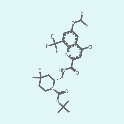 CC(C)(C)OC(=O)N1CCC(F)(F)C[C@@H]1CNC(=O)c1cc(Cl)c2cc(OC(F)F)cc(C(F)(F)F)c2n1